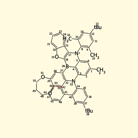 Cc1cc2c3c(c1)N(c1c(C)cc(C(C)(C)C)cc1C)c1c(oc4ccccc14)B3c1cc3c(cc1N2c1ccc(C(C)(C)C)cc1-c1ccccc1)OCCCO3